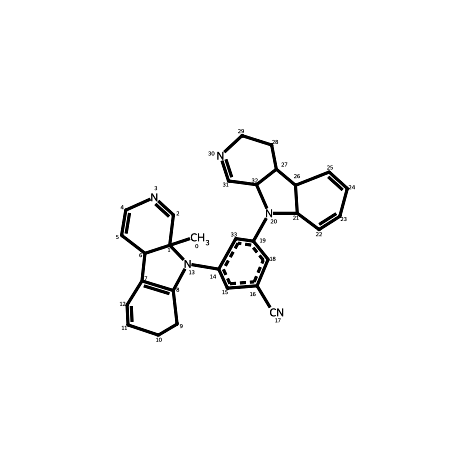 CC12C=NC=CC1C1=C(CCC=C1)N2c1cc(C#N)cc(N2C3C=CC=CC3C3CCN=CC32)c1